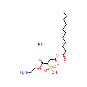 CCCCCCCCCCC(=O)OC(=O)CC(C(=O)OCCN)S(=O)(=O)O.[NaH]